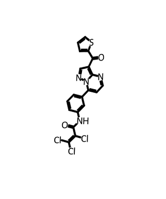 O=C(Nc1cccc(-c2ccnc3c(C(=O)c4cccs4)cnn23)c1)C(Cl)=C(Cl)Cl